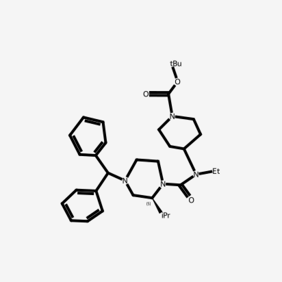 CCN(C(=O)N1CCN(C(c2ccccc2)c2ccccc2)C[C@@H]1C(C)C)C1CCN(C(=O)OC(C)(C)C)CC1